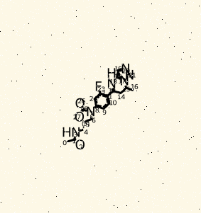 CC(=O)NC[C@H]1CN(c2ccc(C(=N)CC(C)n3ccnn3)c(F)c2)C(=O)O1